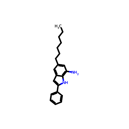 CCCCCCCc1cc(N)c2[nH]c(-c3ccccc3)cc2c1